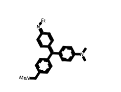 CCN=C1C=CC(=C(c2ccc(CNC)cc2)c2ccc(N(C)C)cc2)C=C1